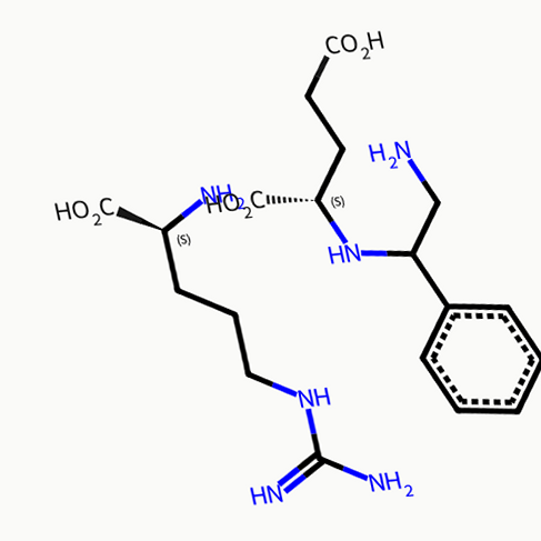 N=C(N)NCCC[C@H](N)C(=O)O.NCC(N[C@@H](CCC(=O)O)C(=O)O)c1ccccc1